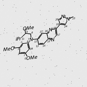 COc1cc(OC)cc(N(CC(OC)C(C)C)c2ccc3ncc(-c4cnn(C)c4)nc3c2)c1